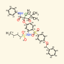 CCCCS(=O)(=O)Nc1cc(OC(Cl)(C(=O)Nc2ccccc2)C(=O)C(C)(C)C)ccc1S(=O)(=O)c1ccc(OCc2ccccc2)cc1